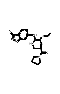 O=C(C1=CC(OCI)=C(Nc2ccc3c(=O)[nH]oc3c2)NC1)N1CCCC1